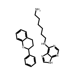 NCCCCCCNc1ncnc2[nH]cnc12.c1ccc(C2CCc3ccccc3O2)cc1